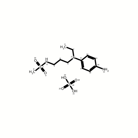 CCN(CCCNS(C)(=O)=O)c1ccc(N)cc1.O=S(=O)(O)O